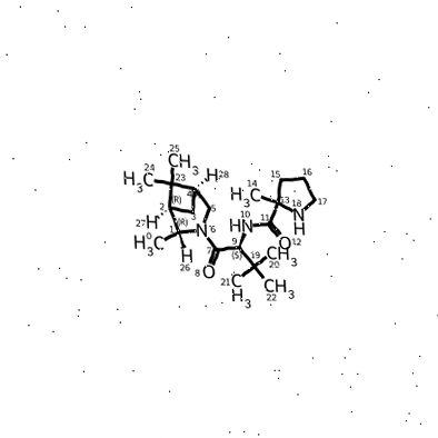 C[C@@H]1[C@@H]2C[C@H](CN1C(=O)[C@@H](NC(=O)C1(C)CCCN1)C(C)(C)C)C2(C)C